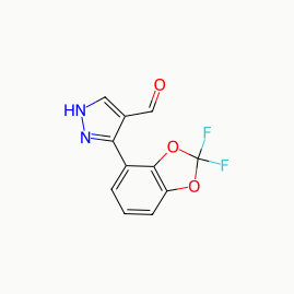 O=Cc1c[nH]nc1-c1cccc2c1OC(F)(F)O2